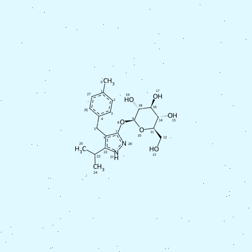 Cc1ccc(Cc2c(O[C@@H]3O[C@H](CO)[C@@H](O)[C@H](O)[C@H]3O)n[nH]c2C(C)C)cc1